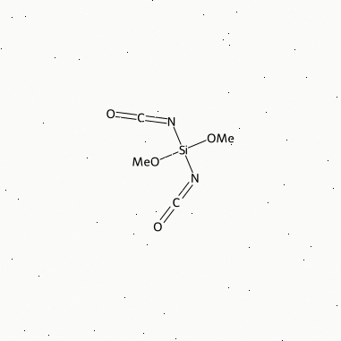 CO[Si](N=C=O)(N=C=O)OC